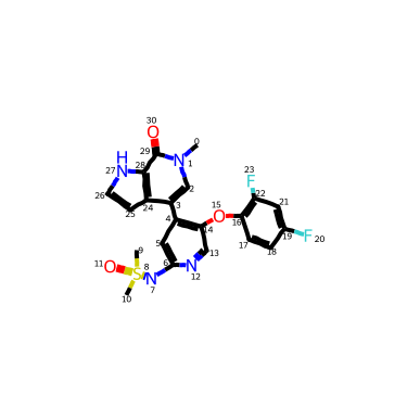 Cn1cc(-c2cc(N=S(C)(C)=O)ncc2Oc2ccc(F)cc2F)c2cc[nH]c2c1=O